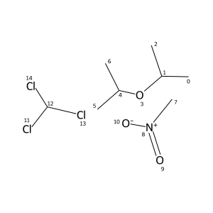 CC(C)OC(C)C.C[N+](=O)[O-].ClC(Cl)Cl